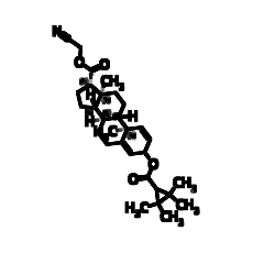 CC1(C)C(C(=O)OC2C=C[C@@]3(C)C(=C2)CC[C@H]2[C@@H]4CC[C@H](C(=O)OCC#N)[C@@]4(C)CC[C@@H]23)C1(C)C